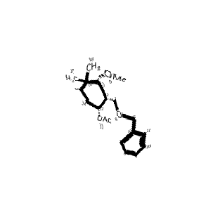 CO[C@@H]1[C@H](COCc2ccccc2)[C@H](OC(C)=O)CCC1(C)C